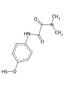 CN(C)C(=O)C(=O)Nc1ccc(OS)cc1